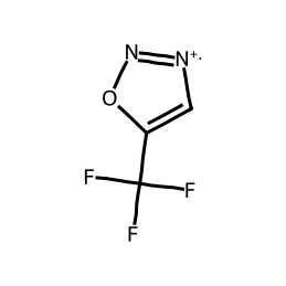 FC(F)(F)C1=C[N+]=NO1